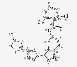 CCN1CC[C@@H](n2cc(-c3n[nH]c4ccc(O[C@H](C)c5c(Cl)cncc5Cl)cc34)cn2)C1